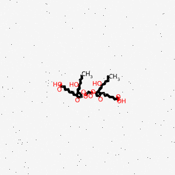 CCCCCC(O)C=CC1C(OC(=O)CC(=O)OC2CC(=O)C(CC=CCCCC(=O)O)C2C=CC(O)CCCCC)CC(=O)C1CC=CCCCC(=O)O